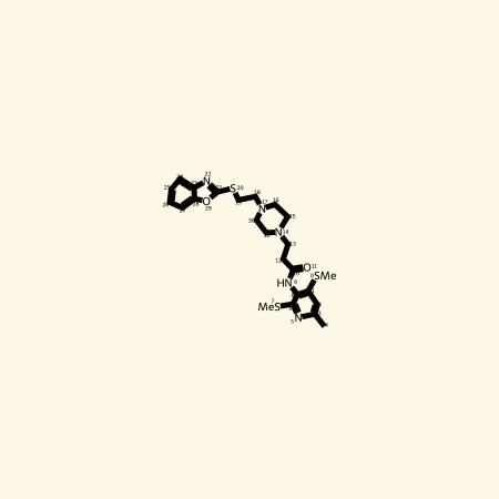 CSc1cc(C)nc(SC)c1NC(=O)CCN1CCN(CCSc2nc3ccccc3o2)CC1